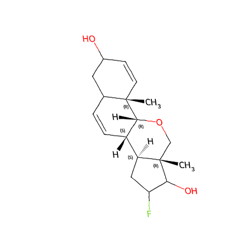 C[C@]12C=CC(O)CC1C=C[C@@H]1[C@H]2OC[C@]2(C)C(O)C(F)C[C@@H]12